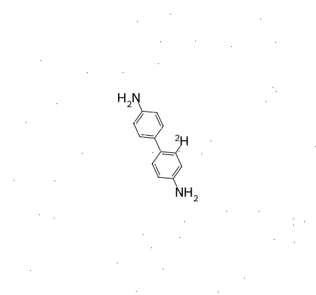 [2H]c1cc(N)ccc1-c1ccc(N)cc1